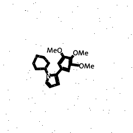 COc1cc(-c2cccn2C2CCCCC2)cc(OC)c1OC